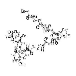 CC[C@@]1(O)C(=O)OCc2c1cc1n(c2=O)Cc2c-1nc1cc(F)c(C)c3c1c2[C@@H](NC(=O)CCCNC(=O)CNC(=O)C(Cc1ccccc1)NC(=O)CNC(=O)CNC(=O)CCNC(=O)CBr)CC3